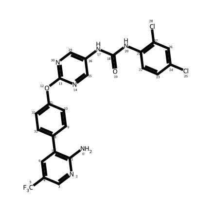 Nc1ncc(C(F)(F)F)cc1-c1ccc(Oc2ncc(NC(=O)Nc3ccc(Cl)cc3Cl)cn2)cc1